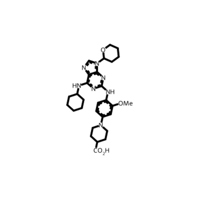 COc1cc(N2CCC(C(=O)O)CC2)ccc1Nc1nc(NC2CCCCC2)c2ncn(C3CCCCO3)c2n1